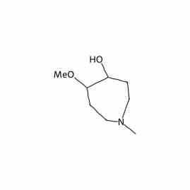 COC1CCN(C)CCC1O